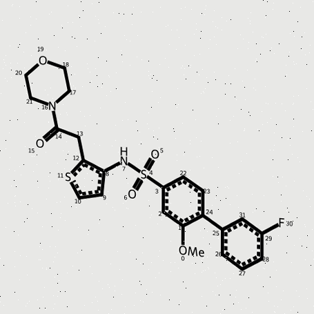 COc1cc(S(=O)(=O)Nc2ccsc2CC(=O)N2CCOCC2)ccc1-c1cccc(F)c1